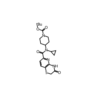 CC(C)(C)OC(=O)N1CCC(N(C(=O)c2ccc3c(n2)NC(=O)CS3)C2CC2)CC1